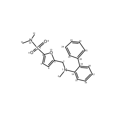 CN(Cc1ccc(S(=O)(=O)N(C)C)o1)c1ccccc1-c1ccccc1